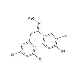 CO/N=C(\Cc1cc(Cl)cc(Cl)c1)c1ccc(S)c(Br)c1